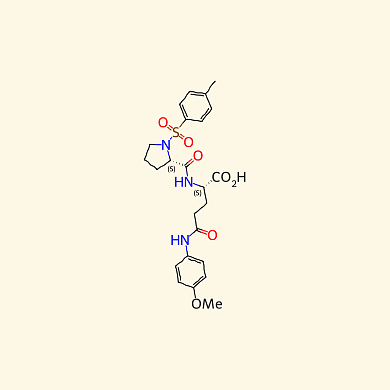 COc1ccc(NC(=O)CC[C@H](NC(=O)[C@@H]2CCCN2S(=O)(=O)c2ccc(C)cc2)C(=O)O)cc1